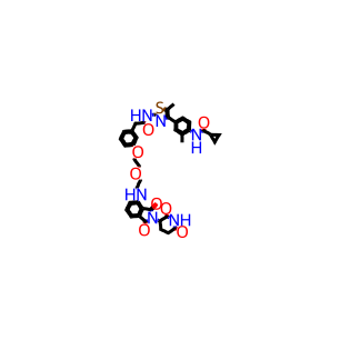 Cc1cc(-c2nc(NC(=O)Cc3cccc(OCCOCCNc4cccc5c4C(=O)N(C4CCC(=O)NC4=O)C5=O)c3)sc2C)ccc1NC(=O)C1CC1